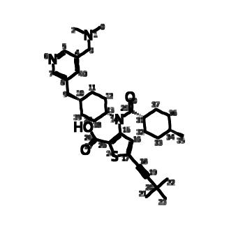 CN(C)Cc1cncc(C[C@H]2CC[C@H](N(c3cc(C#CC(C)(C)C)sc3C(=O)O)C(=O)[C@H]3CC[C@H](C)CC3)CC2)c1